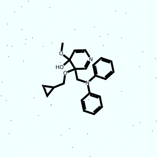 COC1(O)C=CN=CC1(CN(c1ccccc1)c1ccccc1)OCC1CC1